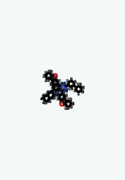 c1ccc(-c2cccc(-c3nc(-c4ccc5c(c4)oc4ccccc45)nc(-c4cc5c(cc4-n4c6ccccc6c6cc7ccccc7cc64)oc4ccccc45)n3)c2)cc1